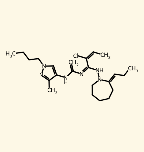 C=C(/N=C(NN1CCCCC/C1=C\CC)\C(Cl)=C/C)Nc1cn(CCCC)nc1C